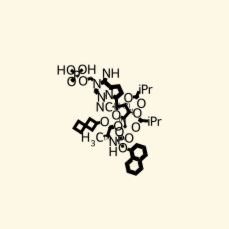 CC(C)C(=O)O[C@H]1[C@@H](OC(=O)C(C)C)[C@](C#N)(c2ccc3c(=N)n(COP(=O)(O)O)cnn23)O[C@@H]1COP(=O)(N[C@@H](C)C(=O)OC1CC2(CCC2)C1)Oc1cccc2ccccc12